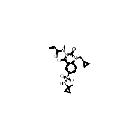 C=CC(=O)N(C)n1c(=O)c2cc(S(=O)(=O)NC3(C)CC3)ccc2n(CC2CC2)c1=O